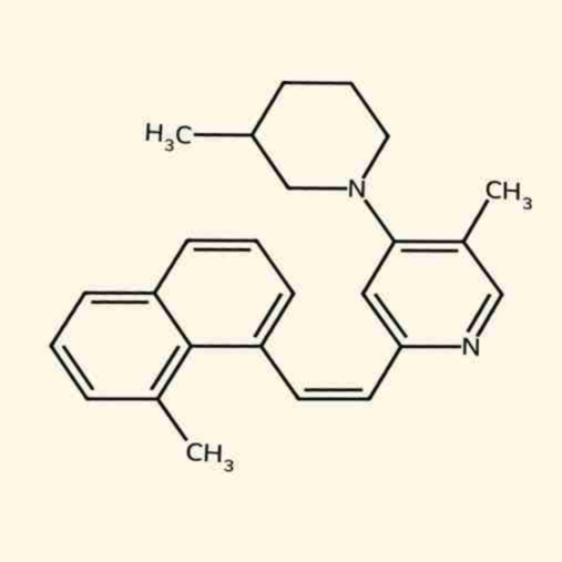 Cc1cnc(/C=C\c2cccc3cccc(C)c23)cc1N1CCCC(C)C1